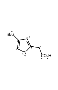 CCCCc1c[nH]c(CC(=O)O)n1